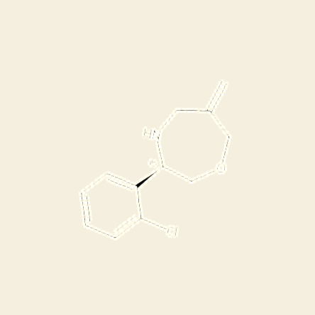 C=C1CN[C@H](c2ccccc2Cl)COC1